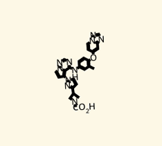 Cc1cc(Nc2ncnn3ccc(-n4ccc(C5CN(C(=O)O)C5)n4)c23)ccc1Oc1ccn2ncnc2c1